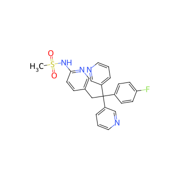 CS(=O)(=O)Nc1ccc(CC(c2ccc(F)cc2)(c2cccnc2)c2cccnc2)cn1